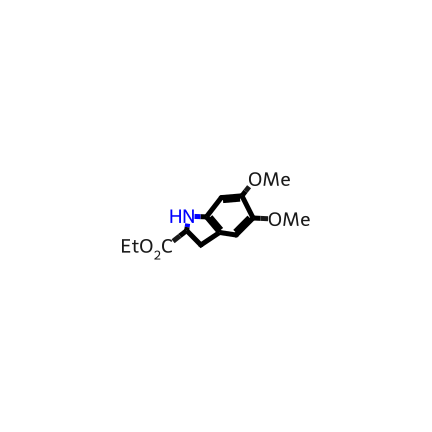 CCOC(=O)C1Cc2cc(OC)c(OC)cc2N1